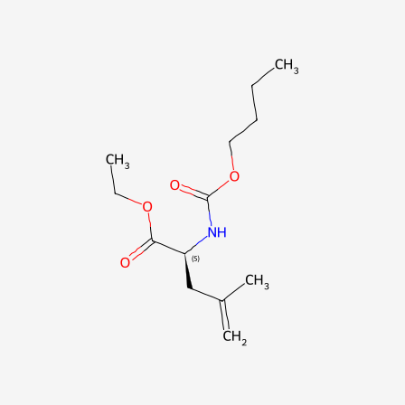 C=C(C)C[C@H](NC(=O)OCCCC)C(=O)OCC